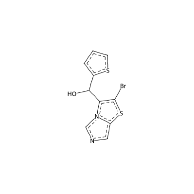 OC(c1cccs1)c1c(Br)sc2cncn12